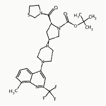 Cc1cccc2c(N3CCN([C@H]4C[C@@H](C(=O)N5CCSC5)N(C(=O)OC(C)(C)C)C4)CC3)cc(C(F)(F)F)nc12